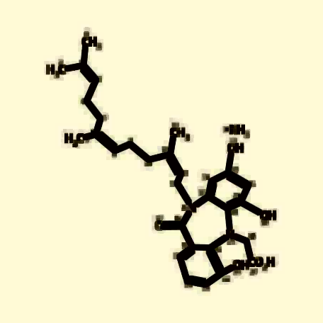 CC(C)=CCCC(C)=CCCC(C)=CCN1C(=O)c2cccc(O)c2N(CC(=O)O)c2c(O)cc(O)cc21.N